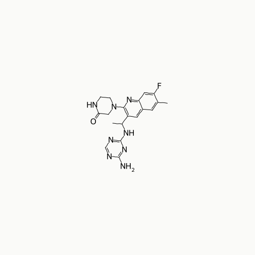 Cc1cc2cc(C(C)Nc3ncnc(N)n3)c(N3CCNC(=O)C3)nc2cc1F